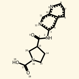 O=C(Nc1cc2cccnc2cn1)C1CCN(C(=O)O)C1